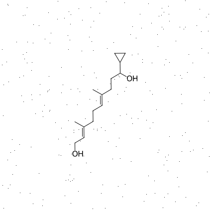 C/C(=C\CO)CC/C=C(\C)CCC(O)C1CC1